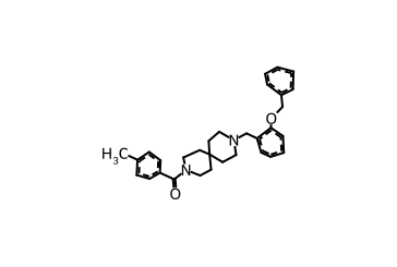 Cc1ccc(C(=O)N2CCC3(CCN(Cc4ccccc4OCc4ccccc4)CC3)CC2)cc1